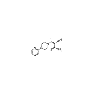 C/C(=C(\C#N)C(N)=S)N1CCN(c2ncccn2)CC1